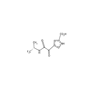 C[C@H](NC(=O)C(=O)c1c[nH]c(C(=O)O)c1)C(F)(F)F